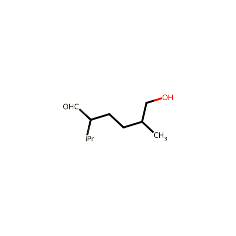 CC(CO)CCC(C=O)C(C)C